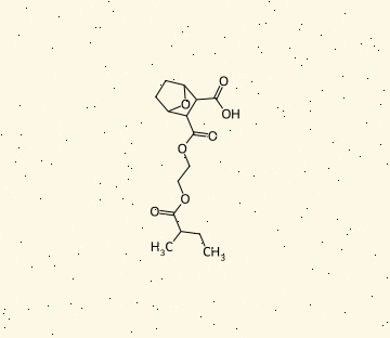 CCC(C)C(=O)OCCOC(=O)C1C2CCC(O2)C1C(=O)O